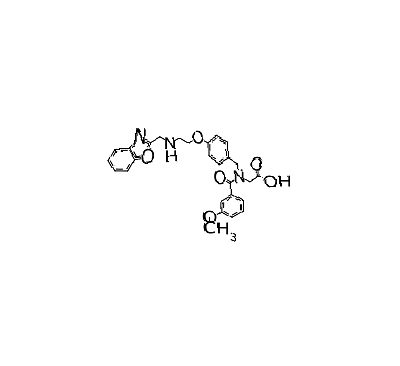 COc1cccc(C(=O)N(CC(=O)O)Cc2ccc(OCCNCc3nc4ccccc4o3)cc2)c1